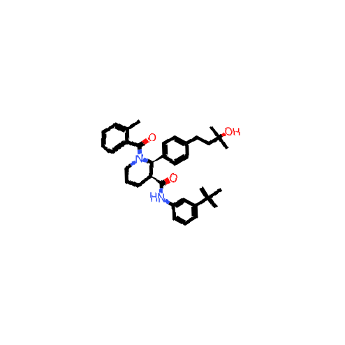 Cc1ccccc1C(=O)N1CCC[C@H](C(=O)Nc2cccc(C(C)(C)C)c2)[C@@H]1c1ccc(CCC(C)(C)O)cc1